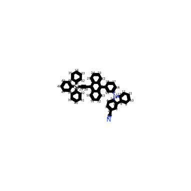 N#Cc1ccc2c(c1)c1ccccc1n2-c1cccc(-c2c3ccccc3c(C#C[Si](c3ccccc3)(c3ccccc3)c3ccccc3)c3ccccc23)c1